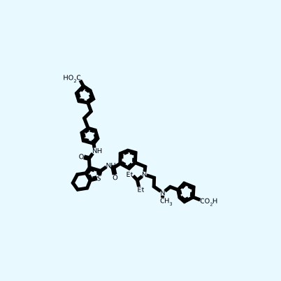 CCC(CC)N(CCN(C)Cc1ccc(C(=O)O)cc1)Cc1cccc(C(=O)Nc2sc3c(c2C(=O)Nc2ccc(CCc4ccc(C(=O)O)cc4)cc2)CCCC3)c1